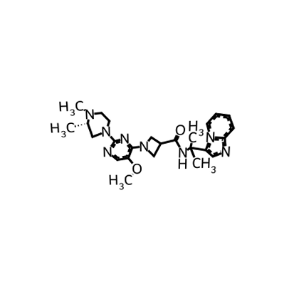 COc1cnc(N2CCN(C)[C@@H](C)C2)nc1N1CC(C(=O)NC(C)(C)c2cnc3ccccn23)C1